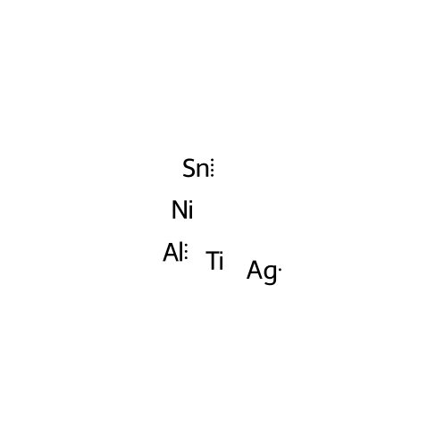 [Ag].[Al].[Ni].[Sn].[Ti]